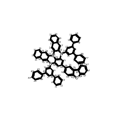 c1ccc(-c2cc(-c3ccccc3)cc(N3c4cc5ccccc5cc4B4c5cc6ccccc6cc5N(c5cc(-c6ccccc6)cc(-c6ccccc6)c5)c5cc(-c6ccc7oc8ccccc8c7c6)cc3c54)c2)cc1